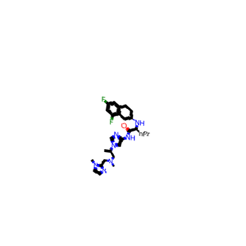 CCC[C@H](N[C@H]1CCc2cc(F)cc(F)c2C1)C(=O)Nc1cn(C(C)CN(C)Cc2nccn2C)cn1